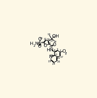 COc1cc(NC(=O)c2oc(S(N)(=O)=O)cc2C(C)(C)O)c2ncccc2c1